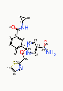 Cc1ccc(C(=O)NC2CC2)cc1C1(OCc2nccs2)N=CC(C(N)=O)=CN1